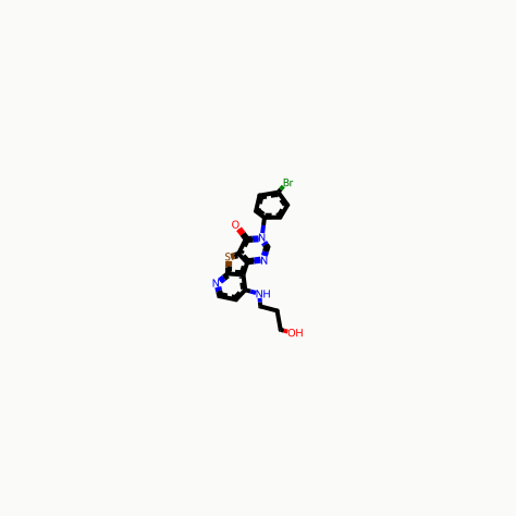 O=c1c2sc3nccc(NCCCO)c3c2ncn1-c1ccc(Br)cc1